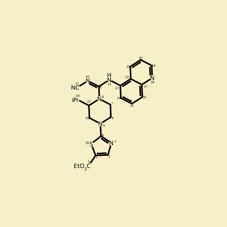 CCOC(=O)c1cnc(N2CCN(/C(=N\C#N)Nc3cccc4ncccc34)C(C(C)C)C2)s1